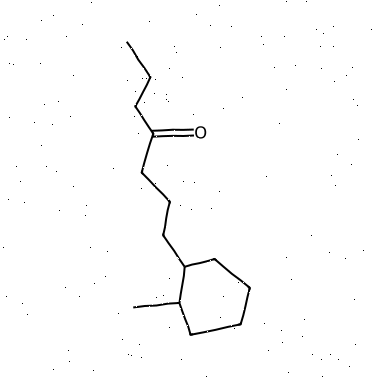 CCCC(=O)CCCC1CCCCC1C